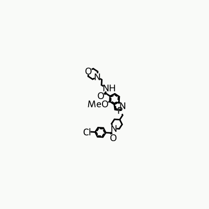 COc1c(C(=O)NCCN2CCOCC2)ccc2np(CC3CCN(C(=O)c4ccc(Cl)cc4)CC3)cc12